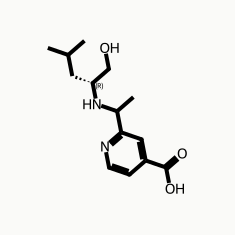 CC(C)C[C@H](CO)NC(C)c1cc(C(=O)O)ccn1